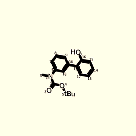 CN(C(=O)OC(C)(C)C)c1cccc(-c2ccccc2O)c1